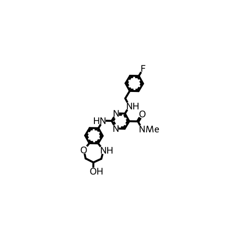 CNC(=O)c1cnc(Nc2ccc3c(c2)NCC(O)CO3)nc1NCc1ccc(F)cc1